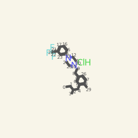 CCC(C)Cc1cc(CCN2CCN(c3cccc(C(F)(F)F)c3)CC2)ccc1C.Cl